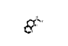 CC(C)NC1CCc2cccnc2N1